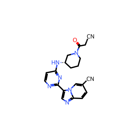 N#CCC(=O)N1CCC[C@H](Nc2ccnc(-c3cnc4ccc(C#N)cn34)n2)C1